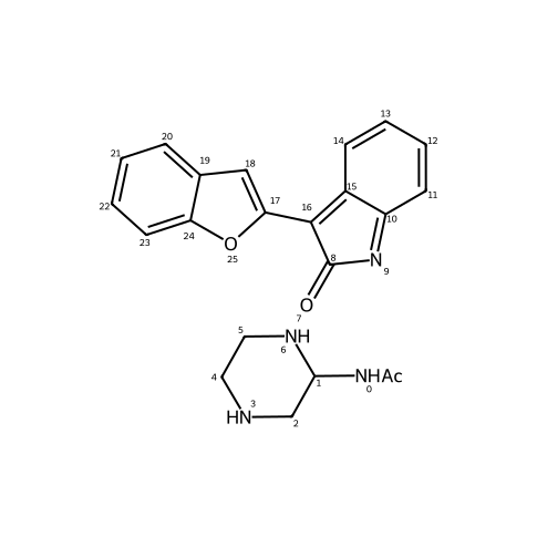 CC(=O)NC1CNCCN1.O=C1N=c2ccccc2=C1c1cc2ccccc2o1